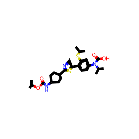 CC(C)OC(=O)NC1CCC(c2ncc(-c3ccc(N(C(=O)O)C(C)C)cc3SC(C)C)s2)CC1